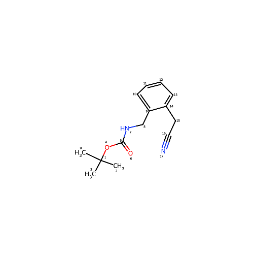 CC(C)(C)OC(=O)NCc1ccccc1CC#N